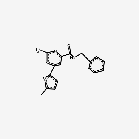 Cc1ccc(-c2cc(C(=O)NCc3ccccc3)nc(N)n2)o1